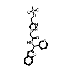 CS(=O)(=O)OCc1cn(CC(=O)NC(c2cccnc2)c2cc3ccccc3o2)nn1